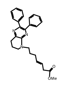 COC(=O)CC=CCCCN1CCCc2nc(-c3ccccc3)c(-c3ccccc3)nc21